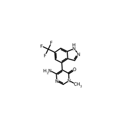 Cn1cnc(N)c(-c2cc(C(F)(F)F)cc3[nH]ncc23)c1=O